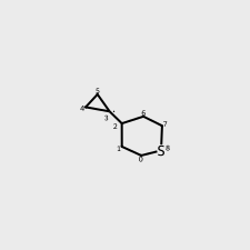 C1CC([C]2CC2)CCS1